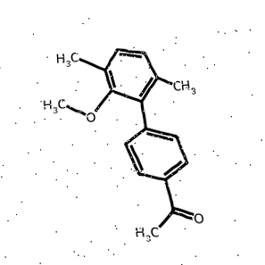 COc1c(C)ccc(C)c1-c1ccc(C(C)=O)cc1